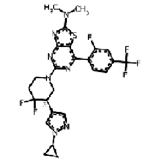 CN(C)c1nc2nc(N3CCC(F)(F)[C@H](c4cnn(C5CC5)c4)C3)nc(-c3ccc(C(F)(F)F)cc3F)c2s1